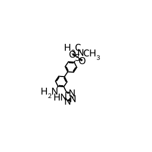 CN(C)S(=O)(=O)c1ccc(-c2ccc(N)c(-c3nnn[nH]3)c2)cc1